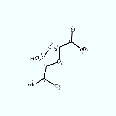 CC(=O)O.CCCCC(CC)COCC(CC)CCCC